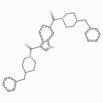 O=C(c1ccc2c(C(=O)N3CCC(Cc4ccccc4)CC3)c[nH]c2c1)N1CCC(Cc2ccccc2)CC1